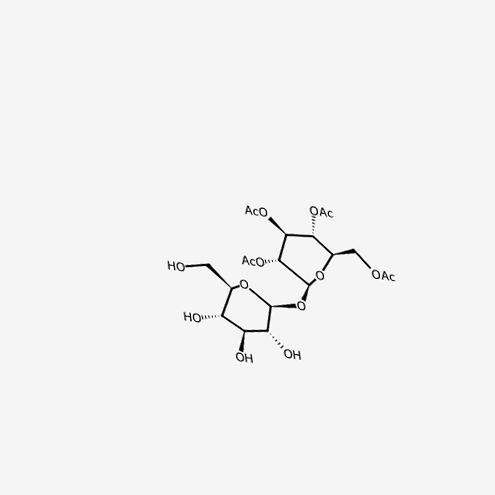 CC(=O)OC[C@H]1O[C@@H](O[C@@H]2O[C@H](CO)[C@@H](O)[C@H](O)[C@H]2O)[C@H](OC(C)=O)[C@@H](OC(C)=O)[C@@H]1OC(C)=O